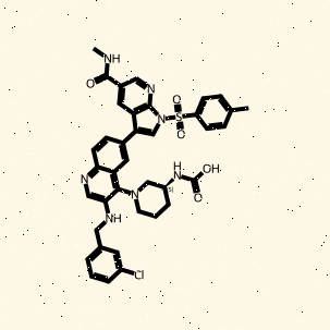 CNC(=O)c1cnc2c(c1)c(-c1ccc3ncc(NCc4cccc(Cl)c4)c(N4CCC[C@H](NC(=O)O)C4)c3c1)cn2S(=O)(=O)c1ccc(C)cc1